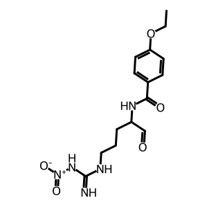 CCOc1ccc(C(=O)NC(C=O)CCCNC(=N)N[N+](=O)[O-])cc1